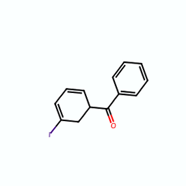 O=C(c1ccccc1)C1C=CC=C(I)C1